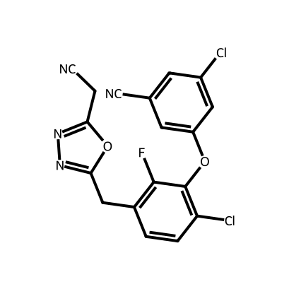 N#CCc1nnc(Cc2ccc(Cl)c(Oc3cc(Cl)cc(C#N)c3)c2F)o1